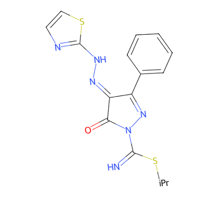 CC(C)SC(=N)N1N=C(c2ccccc2)/C(=N\Nc2nccs2)C1=O